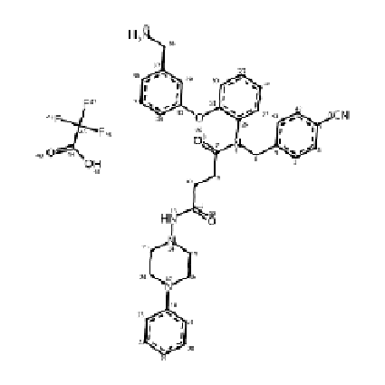 N#Cc1ccc(CN(C(=O)CCC(=O)NN2CCN(c3ccccc3)CC2)c2ccccc2Oc2cccc(CN)c2)cc1.O=C(O)C(F)(F)F